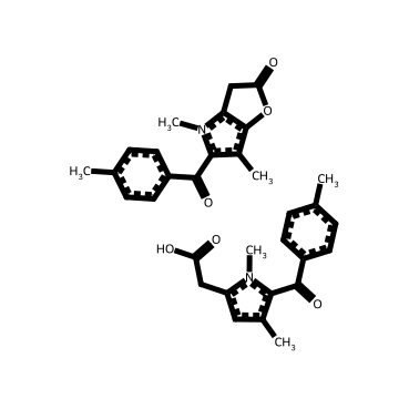 Cc1ccc(C(=O)c2c(C)c3c(n2C)CC(=O)O3)cc1.Cc1ccc(C(=O)c2c(C)cc(CC(=O)O)n2C)cc1